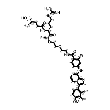 CCc1cc(Nc2nccn3c(-c4ccc(OC)c(F)c4F)cnc23)ccc1C(=O)NCCOCCON(CC)C(=O)[C@H](CCCNC(=N)N)NC(=O)CC[C@H](N)C(=O)O